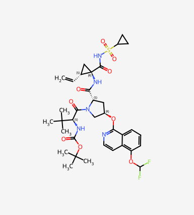 C=C[C@@H]1C[C@]1(NC(=O)[C@@H]1C[C@@H](Oc2nccc3c(OC(F)F)cccc23)CN1C(=O)[C@@H](NC(=O)OC(C)(C)C)C(C)(C)C)C(=O)NS(=O)(=O)C1CC1